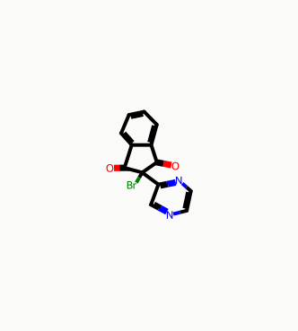 O=C1c2ccccc2C(=O)C1(Br)c1cnccn1